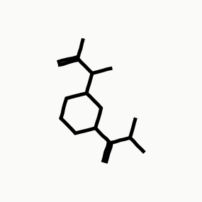 C=C(C(C)C)C1CCCC(C(C)C(=C)C)C1